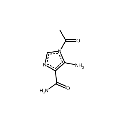 CC(=O)n1cnc(C(N)=O)c1N